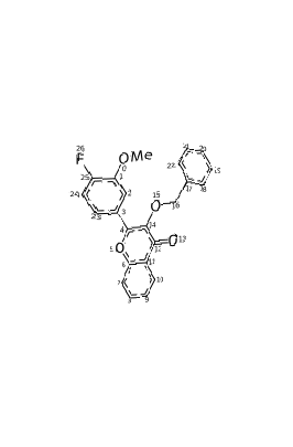 COc1cc(-c2oc3ccccc3c(=O)c2OCc2ccccc2)ccc1F